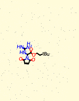 CC(C)(C)CCOC(=O)C(NC(=N)N)N1C(=O)C=CC1=O